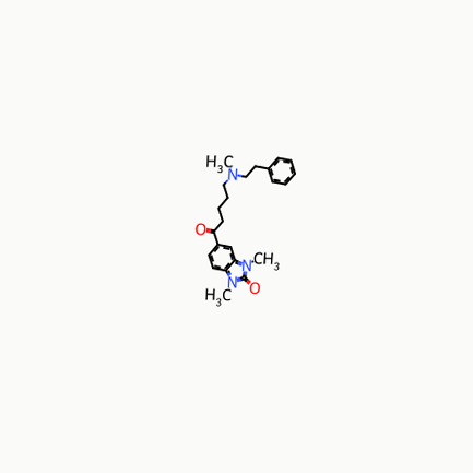 CN(CCCCC(=O)c1ccc2c(c1)n(C)c(=O)n2C)CCc1ccccc1